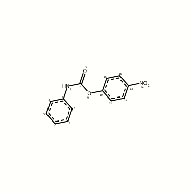 O=C(Nc1[c]cccc1)Oc1ccc([N+](=O)[O-])cc1